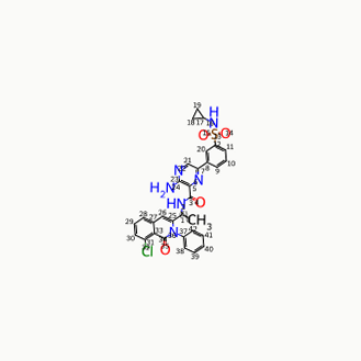 C[C@H](NC(=O)c1nc(-c2cccc(S(=O)(=O)NC3CC3)c2)cnc1N)c1cc2cccc(Cl)c2c(=O)n1-c1ccccc1